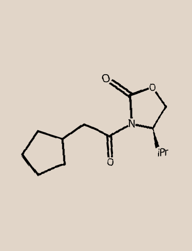 CC(C)[C@@H]1COC(=O)N1C(=O)CC1CCCC1